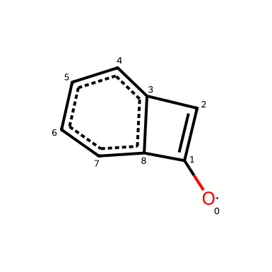 [O]C1=Cc2ccccc21